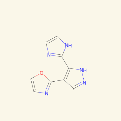 [c]1n[nH]c(-c2ncc[nH]2)c1-c1ncco1